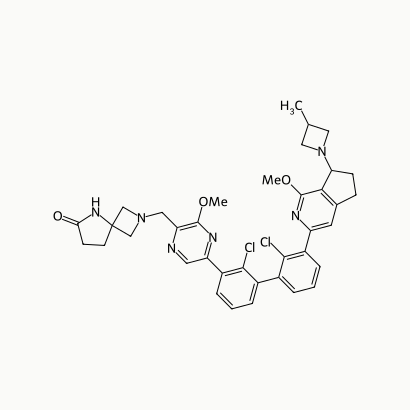 COc1nc(-c2cccc(-c3cccc(-c4cc5c(c(OC)n4)C(N4CC(C)C4)CC5)c3Cl)c2Cl)cnc1CN1CC2(CCC(=O)N2)C1